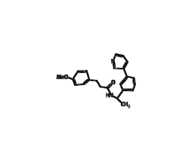 COc1ccc(CCC(=O)NC(C)c2cccc(-c3cccnc3)c2)cc1